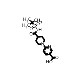 CC(C)(C)S(=O)(=O)NC(=O)C1CCN(c2ccc(C(=O)O)cn2)CC1